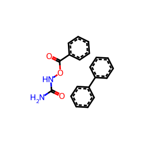 NC(=O)NOC(=O)c1ccccc1.c1ccc(-c2ccccc2)cc1